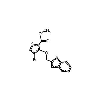 COC(=O)c1scc(Br)c1OCc1cc2ccccc2s1